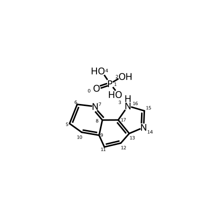 O=P(O)(O)O.c1cnc2c(c1)ccc1nc[nH]c12